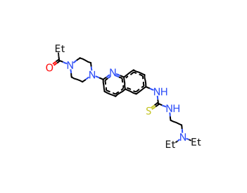 CCC(=O)N1CCN(c2ccc3cc(NC(=S)NCCN(CC)CC)ccc3n2)CC1